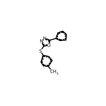 Cc1ccc(Sc2nnc(-c3ccccc3)o2)cc1